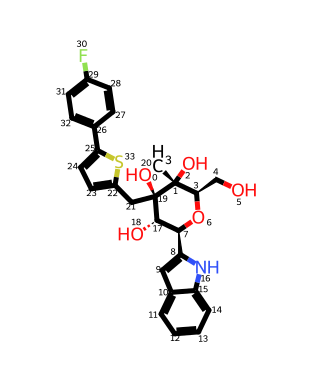 C[C@@]1(O)[C@@H](CO)O[C@@H](c2cc3ccccc3[nH]2)[C@H](O)[C@]1(O)Cc1ccc(-c2ccc(F)cc2)s1